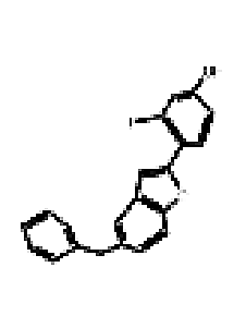 Oc1ccc(-c2cc3cc(Cc4ccccc4)ccc3o2)c(F)c1